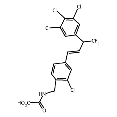 O=C(O)C(=O)NCc1ccc(C=CC(c2cc(Cl)c(Cl)c(Cl)c2)C(F)(F)F)cc1Cl